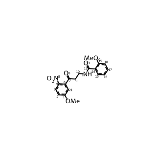 COc1ccc([N+](=O)[O-])c(C(=O)CCNC(=O)c2ccccc2OC)c1